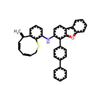 C=C1/C=C\C=C/CSc2c(Nc3ccc4c(oc5ccccc54)c3-c3ccc(-c4ccccc4)cc3)cccc21